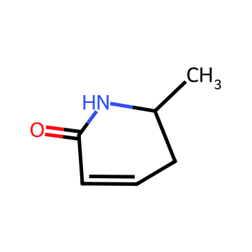 CC1CC=CC(=O)N1